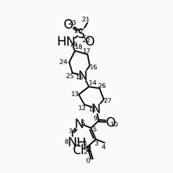 C=C(Cl)/C(C)=C(\N=C/N)C(=O)N1CCC(N2CCC(NS(C)(=O)=O)CC2)CC1